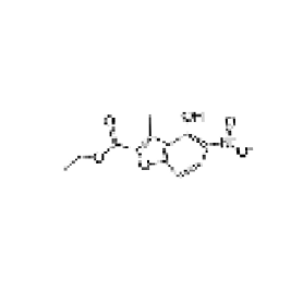 CCOC(=O)c1oc2ccc([N+](=O)[O-])c(O)c2c1C